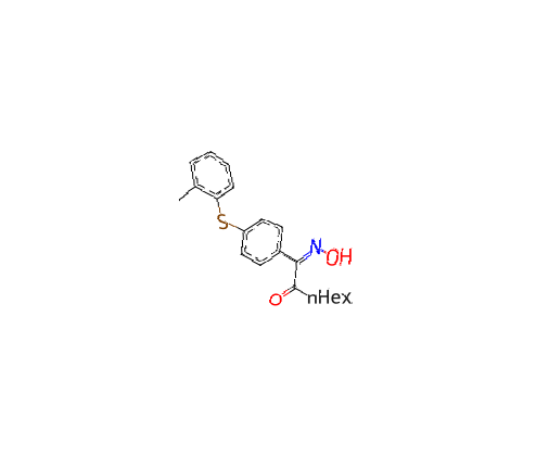 CCCCCCC(=O)C(=NO)c1ccc(Sc2ccccc2C)cc1